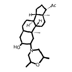 CC(=O)[C@H]1CC[C@H]2[C@@H]3CCC4CC(O)C(N5CC(C)OC(C)C5)C[C@]4(C)[C@H]3CC[C@]12C